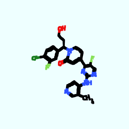 Cc1cnccc1Nc1ncc(F)c(-c2ccn([C@H](CCO)c3ccc(Cl)c(F)c3)c(=O)c2)n1